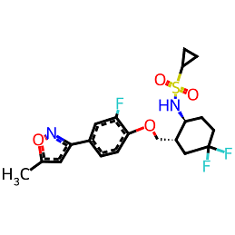 Cc1cc(-c2ccc(OC[C@H]3CC(F)(F)CC[C@@H]3NS(=O)(=O)C3CC3)c(F)c2)no1